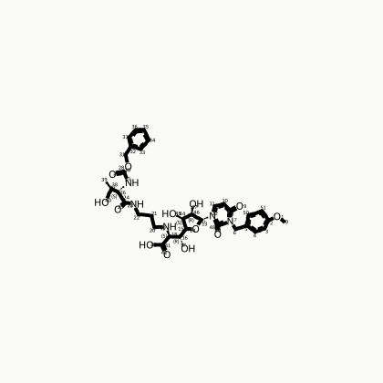 COc1ccc(Cn2c(=O)ccn([C@@H]3OC([C@H](O)[C@H](NCCCNC(=O)[C@@H](NC(=O)OCc4ccccc4)[C@H](C)O)C(=O)O)[C@@H](O)[C@H]3O)c2=O)cc1